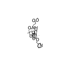 COC(=O)CCNC(=O)[C@@H]1OP(=O)(N[C@H](C)C(=O)OCc2cccnc2)OCC1(C)C